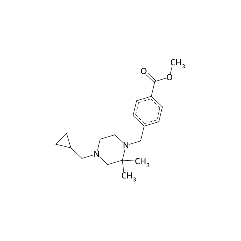 COC(=O)c1ccc(CN2CCN(CC3CC3)CC2(C)C)cc1